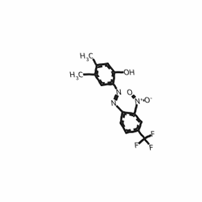 Cc1cc(O)c(N=Nc2ccc(C(F)(F)F)cc2[N+](=O)[O-])cc1C